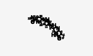 CCc1cc2ncc(CNC34CCC(Nc5ccc(C(=O)NC)nc5C)(CC3)C4)cc2[nH]c1=O